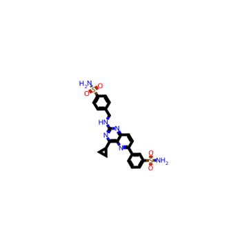 NS(=O)(=O)c1ccc(CNc2nc(C3CC3)c3nc(-c4cccc(S(N)(=O)=O)c4)ccc3n2)cc1